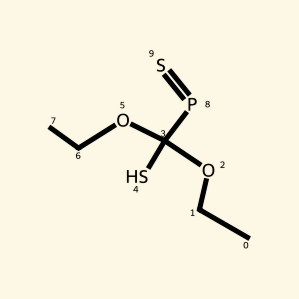 CCOC(S)(OCC)P=S